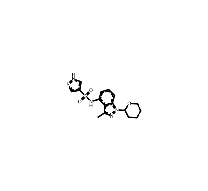 Cc1nn(C2CCCCO2)c2cccc(NS(=O)(=O)c3cn[nH]c3)c12